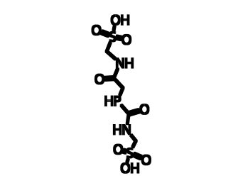 O=C(CPC(=O)NCS(=O)(=O)O)NCS(=O)(=O)O